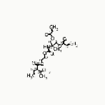 C=CC(=O)OCC(C)(COC(=O)C=C)NC(=O)OCCOC(=O)C(CC)C(C)C